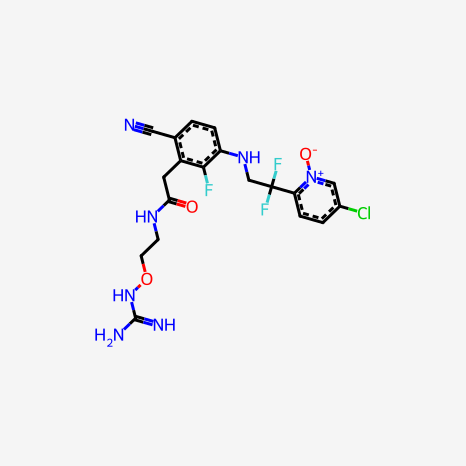 N#Cc1ccc(NCC(F)(F)c2ccc(Cl)c[n+]2[O-])c(F)c1CC(=O)NCCONC(=N)N